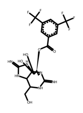 N=C1NC2C(CO)NC(=N)N3C[C@H](OC(=O)c4cc(C(F)(F)F)cc(C(F)(F)F)c4)C(O)(O)C23N1